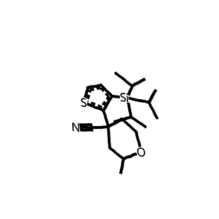 CC1CC(C#N)(c2sccc2[Si](C(C)C)(C(C)C)C(C)C)CCO1